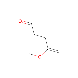 C=C(CCC=O)OC